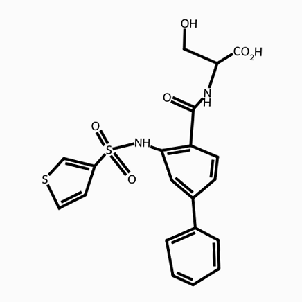 O=C(NC(CO)C(=O)O)c1ccc(-c2ccccc2)cc1NS(=O)(=O)c1ccsc1